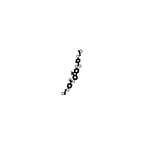 CC1(C)c2cc(OC(=O)c3ccc(OCC4CO4)cc3)ccc2-c2ccc(OC(=O)c3ccc(OCC4CO4)cc3)cc21